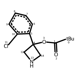 CC(C)(C)C(=O)OC1(c2ccccc2Cl)CNC1